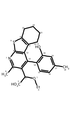 CCOC(C(=O)O)c1c(C)nc2sc3c(c2c1-c1ccc(C)cc1O)CCCC3